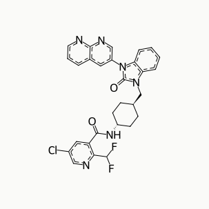 O=C(N[C@H]1CC[C@H](Cn2c(=O)n(-c3cnc4ncccc4c3)c3ccccc32)CC1)c1cc(Cl)cnc1C(F)F